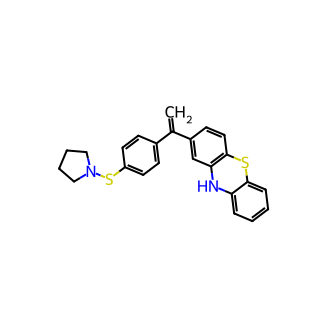 C=C(c1ccc(SN2CCCC2)cc1)c1ccc2c(c1)Nc1ccccc1S2